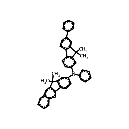 CC1(C)c2cc(-c3ccccc3)ccc2-c2ccc(N(c3ccccc3)c3ccc4c(c3)C(C)(C)c3cc5ccccc5cc3-4)cc21